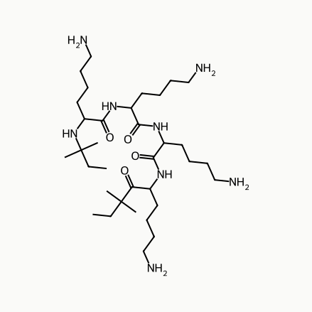 CCC(C)(C)NC(CCCCN)C(=O)NC(CCCCN)C(=O)NC(CCCCN)C(=O)NC(CCCCN)C(=O)C(C)(C)CC